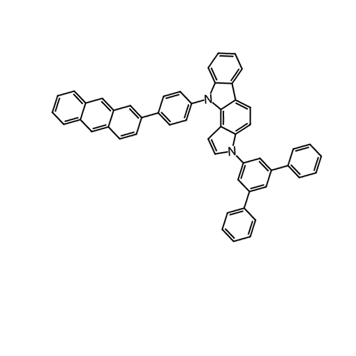 c1ccc(-c2cc(-c3ccccc3)cc(-n3ccc4c3ccc3c5ccccc5n(-c5ccc(-c6ccc7cc8ccccc8cc7c6)cc5)c34)c2)cc1